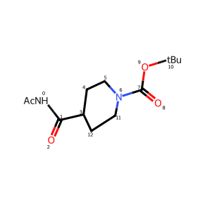 CC(=O)NC(=O)C1CCN(C(=O)OC(C)(C)C)CC1